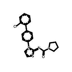 O=C(N=c1sccn1-c1ccc(-c2ccccc2Cl)cc1)N1CCCC1